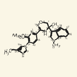 COc1nc(C2=NOCC(C)(c3cn(C)c4ccccc34)N2)ccc1-n1cnc(C)c1